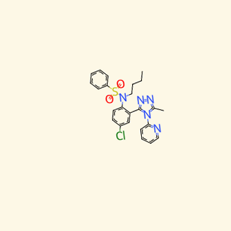 CCCCN(c1ccc(Cl)cc1-c1nnc(C)n1-c1ccccn1)S(=O)(=O)c1ccccc1